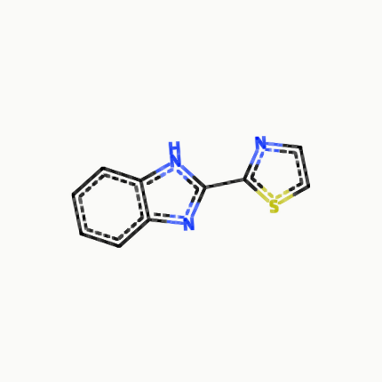 c1ccc2[nH]c(-c3nccs3)nc2c1